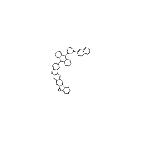 C1=CC(c2ccc3ccccc3c2)CC(c2c3ccccc3c(C3=CC=C4Sc5cc6cc7oc8ccccc8c7cc6cc5C4C3)c3ccccc23)=C1